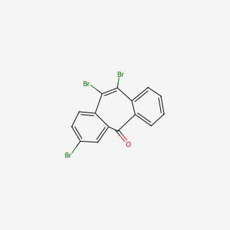 O=c1c2ccccc2c(Br)c(Br)c2ccc(Br)cc12